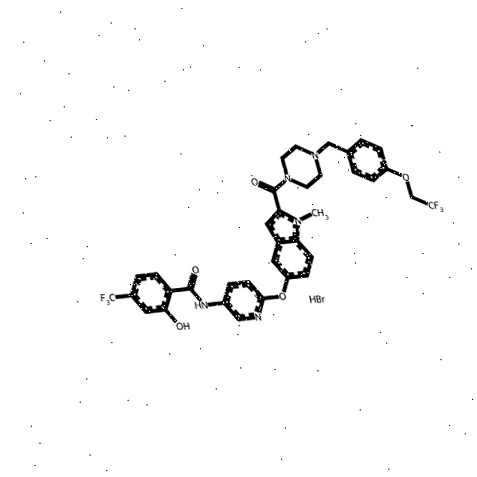 Br.Cn1c(C(=O)N2CCN(Cc3ccc(OCC(F)(F)F)cc3)CC2)cc2cc(Oc3ccc(NC(=O)c4ccc(C(F)(F)F)cc4O)cn3)ccc21